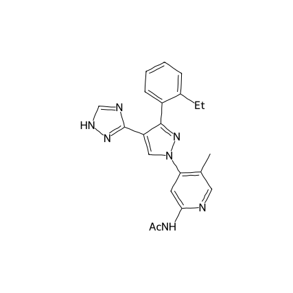 CCc1ccccc1-c1nn(-c2cc(NC(C)=O)ncc2C)cc1-c1nc[nH]n1